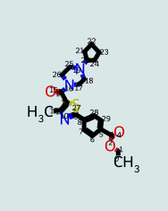 CCOC(=O)c1ccc(-c2nc(C)c(C(=O)N3CCN(C4CCCC4)CC3)s2)cc1